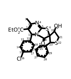 CCOC(=O)C1=C(C)N=C2SC3(C(=O)N2C1c1ccc(Cl)cc1)C(O)CSC3c1ccccc1